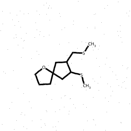 CSCC1CC2(CCCO2)CC1SC